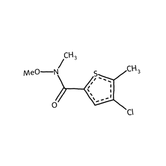 CON(C)C(=O)c1cc(Cl)c(C)s1